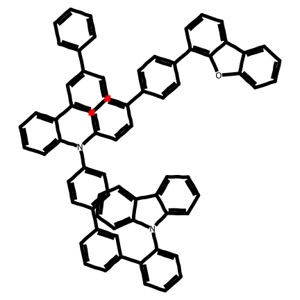 c1ccc(-c2cccc(-c3ccccc3N(c3ccc(-c4ccc(-c5cccc6c5oc5ccccc56)cc4)cc3)c3ccc(-c4cccc(-c5ccccc5-n5c6ccccc6c6ccccc65)c4)cc3)c2)cc1